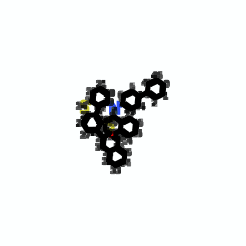 c1ccc(-c2ccc(N(c3cccc4ccccc34)c3cccc4sc5ccc6c7cc8ccccc8cc7sc6c5c34)cc2)cc1